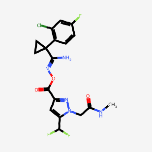 CNC(=O)Cn1nc(C(=O)O/N=C(\N)C2(c3ccc(F)cc3Cl)CC2)cc1C(F)F